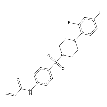 C=CC(=O)Nc1ccc(S(=O)(=O)N2CCN(c3ccc(F)cc3F)CC2)cc1